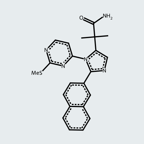 CSc1nccc(-n2c(C(C)(C)C(N)=O)cnc2-c2ccc3ccccc3c2)n1